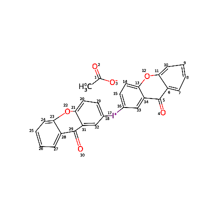 CC(=O)[O-].O=c1c2ccccc2oc2ccc([I+]c3ccc4oc5ccccc5c(=O)c4c3)cc12